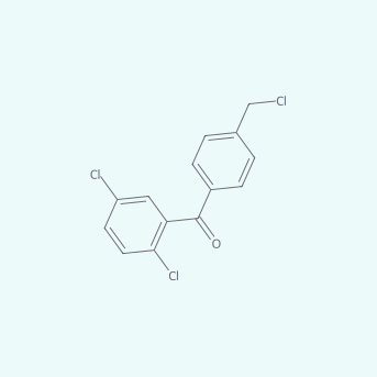 O=C(c1ccc(CCl)cc1)c1cc(Cl)ccc1Cl